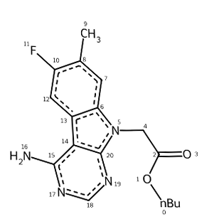 CCCCOC(=O)Cn1c2cc(C)c(F)cc2c2c(N)ncnc21